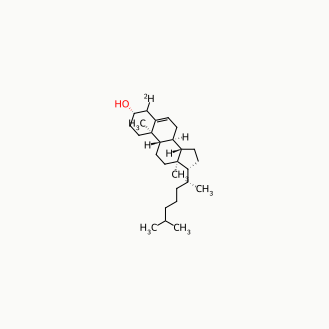 [2H]C1C2=CC[C@H]3[C@@H]4CC[C@H]([C@H](C)CCCC(C)C)[C@@]4(C)CC[C@@H]3[C@@]2(C)CC[C@@H]1O